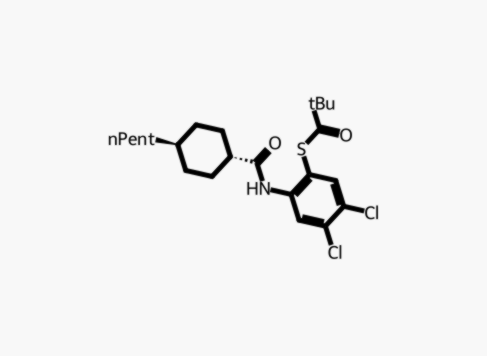 CCCCC[C@H]1CC[C@H](C(=O)Nc2cc(Cl)c(Cl)cc2SC(=O)C(C)(C)C)CC1